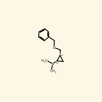 CN(C)[C@@H]1C[C@@H]1COCc1ccccc1